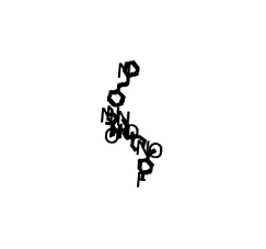 O=C(c1ccc(F)cc1)N1CCC(O)(Cn2cnc3c(cnn3-c3ccc(C=Cc4ccccn4)cc3)c2=O)CC1